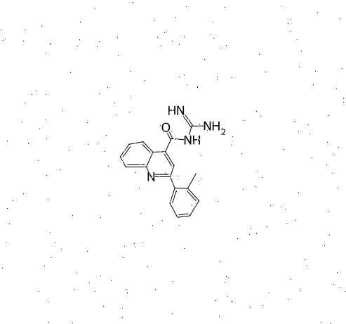 Cc1ccccc1-c1cc(C(=O)NC(=N)N)c2ccccc2n1